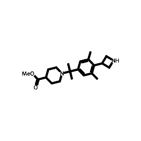 COC(=O)C1CCN(C(C)(C)c2cc(C)c(C3CNC3)c(C)c2)CC1